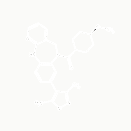 CO[C@H]1CC[C@H](C(=O)N2Cc3cccnc3Nc3ccc(-c4c(C)noc4C)cc32)CC1